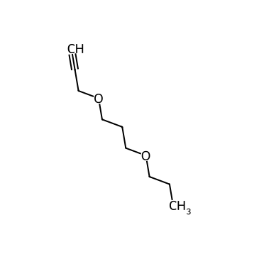 C#CCOCCCOCCC